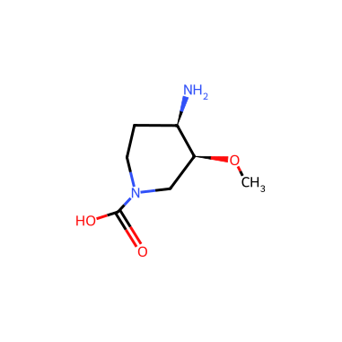 CO[C@H]1CN(C(=O)O)CC[C@H]1N